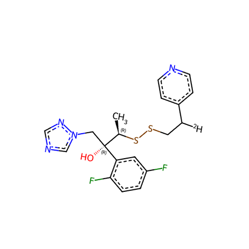 [2H]C(CSS[C@H](C)[C@](O)(Cn1cncn1)c1cc(F)ccc1F)c1ccncc1